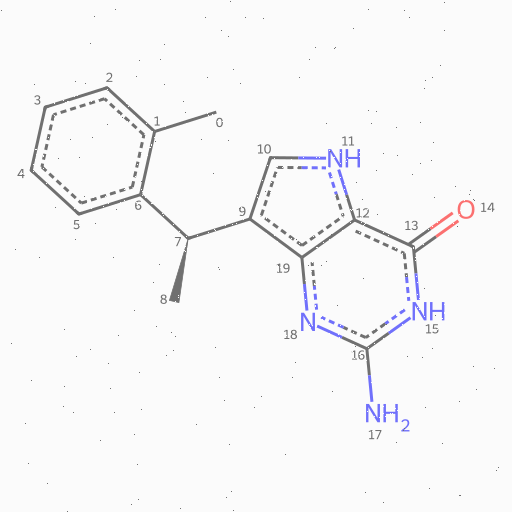 Cc1ccccc1[C@H](C)c1c[nH]c2c(=O)[nH]c(N)nc12